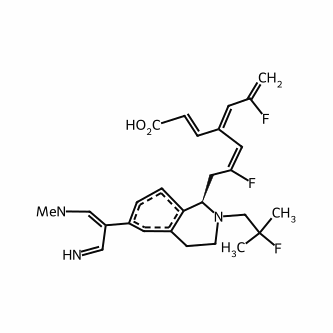 C=C(F)/C=C(/C=C/C(=O)O)\C=C(\F)C[C@@H]1c2ccc(/C(C=N)=C/NC)cc2CCN1CC(C)(C)F